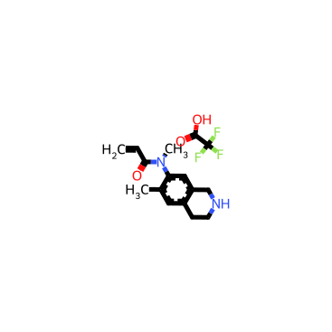 C=CC(=O)N(C)c1cc2c(cc1C)CCNC2.O=C(O)C(F)(F)F